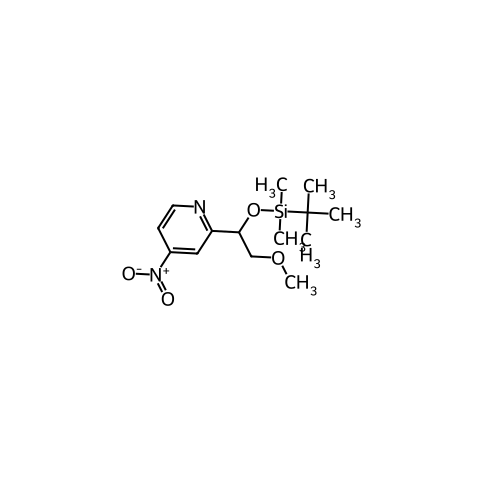 COCC(O[Si](C)(C)C(C)(C)C)c1cc([N+](=O)[O-])ccn1